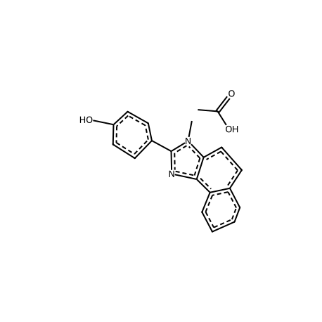 CC(=O)O.Cn1c(-c2ccc(O)cc2)nc2c3ccccc3ccc21